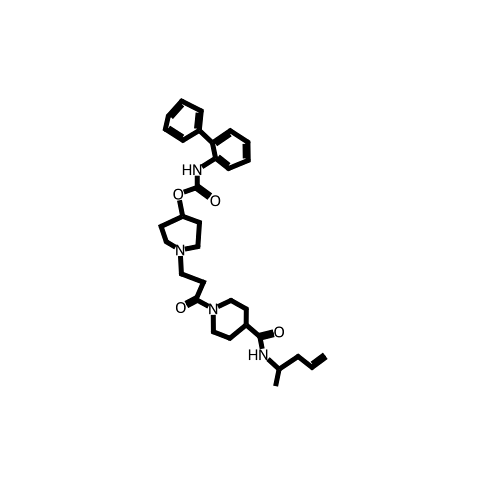 C=CCC(C)NC(=O)C1CCN(C(=O)CCN2CCC(OC(=O)Nc3ccccc3-c3ccccc3)CC2)CC1